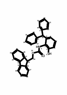 O=C(Nc1c(S)cccc1C(c1ccccc1)c1ccccc1)OCC1c2ccccc2-c2ccccc21